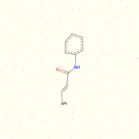 CCCC=CC(=O)Nc1ccccc1